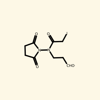 O=[C]CCN(C(=O)CI)N1C(=O)CCC1=O